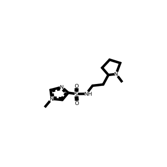 CN1CCCC1CCNS(=O)(=O)c1cn(C)cn1